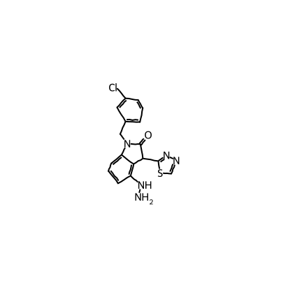 NNc1cccc2c1C(c1nncs1)C(=O)N2Cc1cccc(Cl)c1